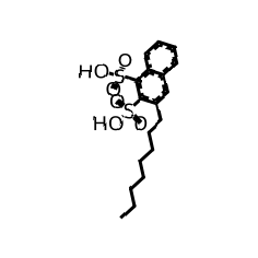 CCCCCCCCc1cc2ccccc2c(S(=O)(=O)O)c1S(=O)(=O)O